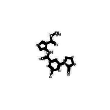 COC(=O)c1cscc1NC(=O)c1cc(F)cc(N2CCCC2=O)c1